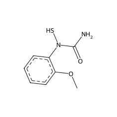 COc1ccccc1N(S)C(N)=O